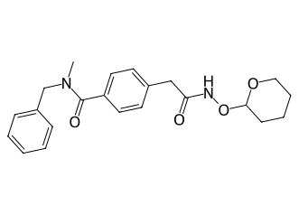 CN(Cc1ccccc1)C(=O)c1ccc(CC(=O)NOC2CCCCO2)cc1